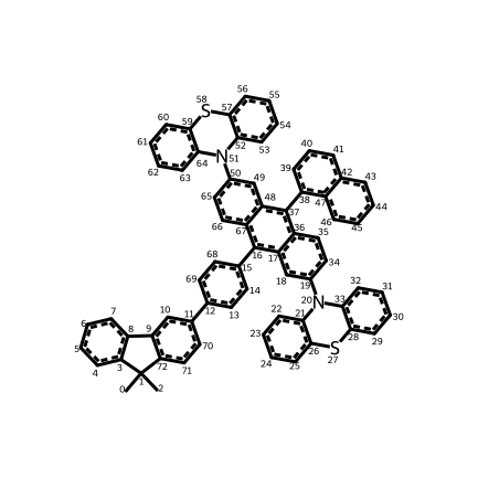 CC1(C)c2ccccc2-c2cc(-c3ccc(-c4c5cc(N6c7ccccc7Sc7ccccc76)ccc5c(-c5cccc6ccccc56)c5cc(N6c7ccccc7Sc7ccccc76)ccc45)cc3)ccc21